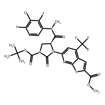 COC(=O)c1cc2c(C(F)(F)F)cc(N3C(=O)N(C(=O)OC(C)(C)C)C[C@H]3C(=O)N(C)c3ccc(F)c(Cl)c3F)nc2s1